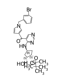 CC(C)(C)[Si](C)(C)O[C@H]1C[C@H](Nc2ncncc2C(=O)c2ccn(Cc3cccc(Br)c3)c2)C[C@H]1CO